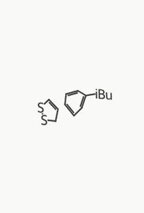 C1=CSSC1.CCC(C)c1ccccc1